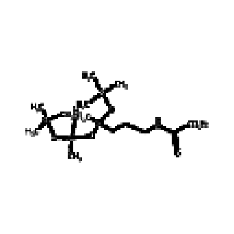 CCOC(=O)C(=O)NCCC[Si](C)(O[Si](C)(C)C)O[Si](C)(C)O[Si](C)(C)C